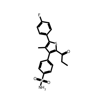 CCC(=O)c1sc(-c2ccc(F)cc2)c(C)c1-c1ccc(S(N)(=O)=O)cc1